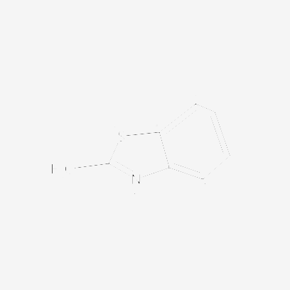 FC(F)(F)c1nc2cc[c]cc2s1